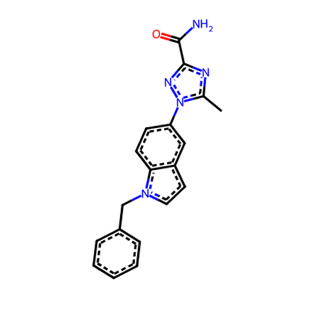 Cc1nc(C(N)=O)nn1-c1ccc2c(ccn2Cc2ccccc2)c1